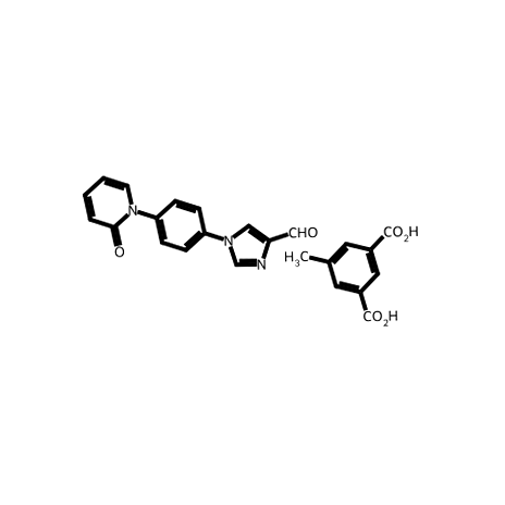 Cc1cc(C(=O)O)cc(C(=O)O)c1.O=Cc1cn(-c2ccc(-n3ccccc3=O)cc2)cn1